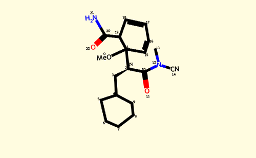 COC1([C@H](CC2CCCCC2)C(=O)N(C)C#N)C=CC=CC1C(N)=O